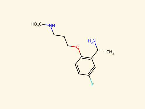 C[C@@H](N)c1cc(F)ccc1OCCCNC(=O)O